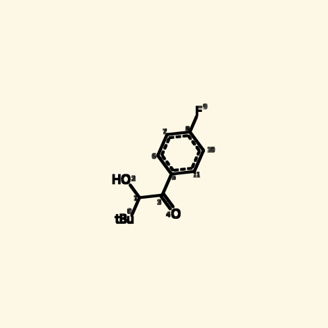 CC(C)(C)C(O)C(=O)c1ccc(F)cc1